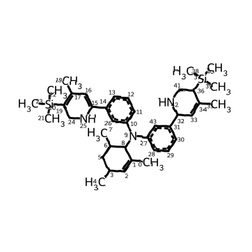 CC1=CC(C)CC(C)C1N(c1cccc(C2=CC(C)=C([Si](C)(C)C)CN2)c1)c1cccc(C2C=C(C)C([Si](C)(C)C)CN2)c1